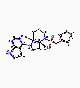 O=S(=O)(Cc1ccccc1)N1CCC[C@@H]2[C@H]1CCN2c1ncnc2[nH]ccc12